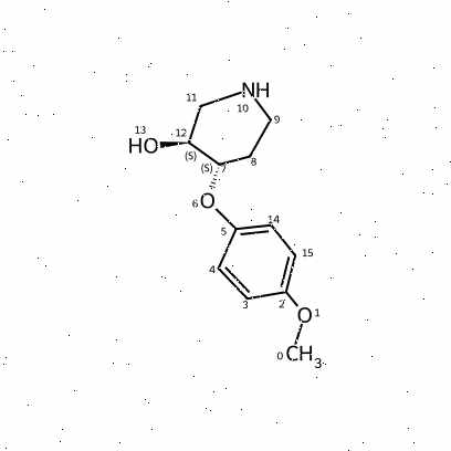 COc1ccc(O[C@H]2CCNC[C@@H]2O)cc1